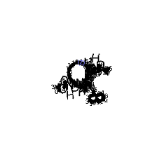 CC(C)(C)OC(=O)N[C@@H]1CCCCC/C=C\[C@@H]2C[C@@]2(C(=O)NS(=O)(=O)C2CC2)NC(=O)[C@@H]2[C@H]3CN(Cc4cccc5ccccc45)C[C@H]3CN2C1=O